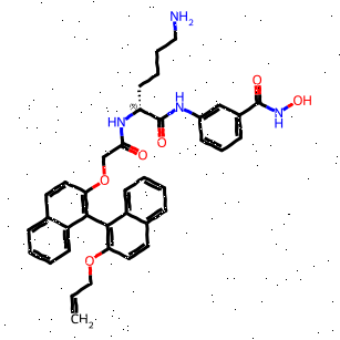 C=CCOc1ccc2ccccc2c1-c1c(OCC(=O)N[C@H](CCCCN)C(=O)Nc2cccc(C(=O)NO)c2)ccc2ccccc12